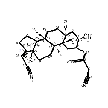 C[C@]12C[C@H](OC(=O)CC#N)[C@@H](O)C[C@@H]1CC[C@@H]1[C@@H]2CC[C@]2(C)/C(=C\C#N)CC[C@@H]12